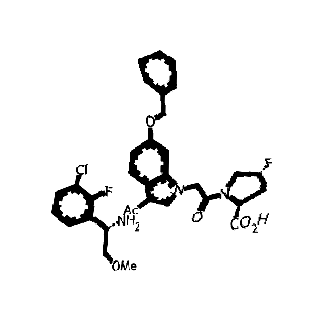 CC(=O)c1cn(CC(=O)N2C[C@H](F)C[C@H]2C(=O)O)c2cc(OCc3ccccc3)ccc12.COC[C@@H](N)c1cccc(Cl)c1F